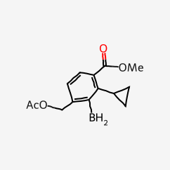 Bc1c(COC(C)=O)ccc(C(=O)OC)c1C1CC1